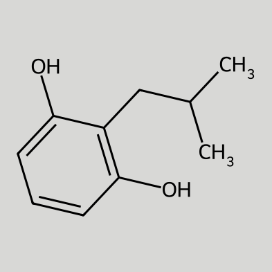 CC(C)Cc1c(O)cccc1O